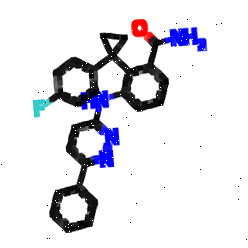 NC(=O)c1cccc(Nc2ccc(-c3ccccc3)nn2)c1C1(c2ccc(F)cc2)CC1